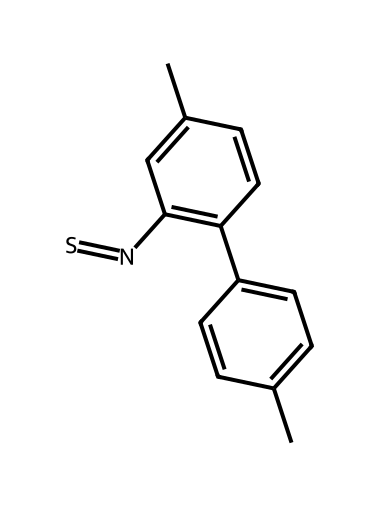 Cc1ccc(-c2ccc(C)cc2N=S)cc1